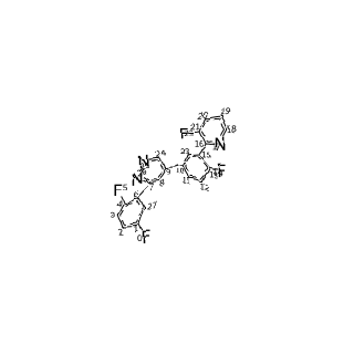 Fc1ccc(F)c(-c2cc(-c3ccc(F)c(-c4ncccc4F)c3)cnn2)c1